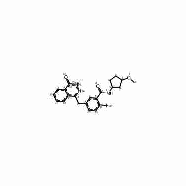 COC1CCC(NC(=O)c2cc(Cc3n[nH]c(=O)c4ccccc34)ccc2F)C1